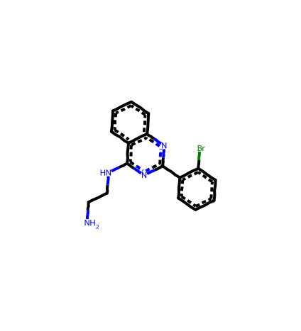 NCCNc1nc(-c2ccccc2Br)nc2ccccc12